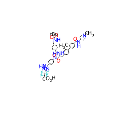 Cc1cc(C(=O)NC2CCN(C)CC2)ccc1-c1ccc(CC(NC(=O)C2CCC(CNC(=O)OC(C)(C)C)CC2)C(=O)Nc2ccc(-c3nc(C(F)(F)C(F)(F)C(=O)O)n[nH]3)cc2)cc1